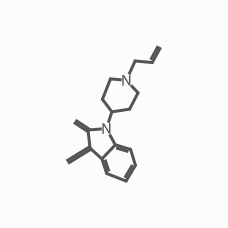 C=CCN1CCC(n2c(=C)c(=C)c3ccccc32)CC1